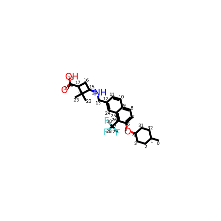 CC1CCC(Oc2ccc3ccc(CNC4CC(C(=O)O)C4(C)C)cc3c2C(F)(F)F)CC1